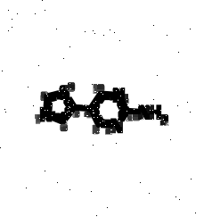 Nc1ncc(-c2cncs2)cn1